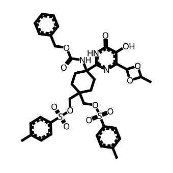 Cc1ccc(S(=O)(=O)OCC2(COS(=O)(=O)c3ccc(C)cc3)CCC(NC(=O)OCc3ccccc3)(c3nc(C4OC(C)O4)c(O)c(=O)[nH]3)CC2)cc1